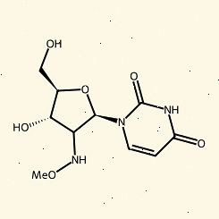 CONC1[C@H](n2ccc(=O)[nH]c2=O)O[C@H](CO)[C@H]1O